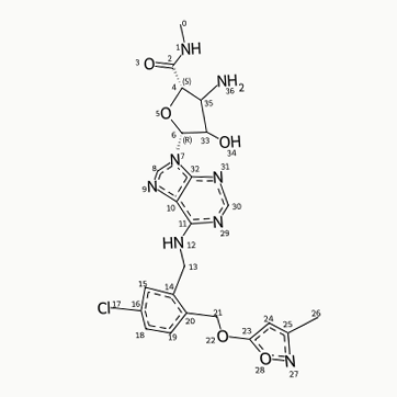 CNC(=O)[C@H]1O[C@@H](n2cnc3c(NCc4cc(Cl)ccc4COc4cc(C)no4)ncnc32)C(O)C1N